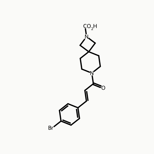 O=C(O)N1CC2(CCN(C(=O)C=Cc3ccc(Br)cc3)CC2)C1